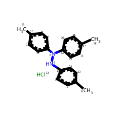 Cc1ccc(NN(c2ccc(C)cc2)c2ccc(C)cc2)cc1.Cl